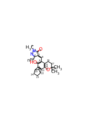 CCCC1=NN(C)C(=O)C1=Cc1c(O)c2c(c3c1CCC(C)(C)O3)C1CCC2C1